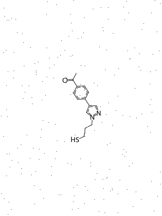 CC(=O)c1ccc(-c2cnn(CCCS)c2)cc1